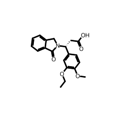 CCOc1cc([C@@H](CC(=O)O)N2Cc3ccccc3C2=O)ccc1OC